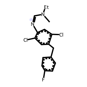 CCN(C)/C=N\c1cc(Cl)c(Cc2ccc(F)cc2)cc1Cl